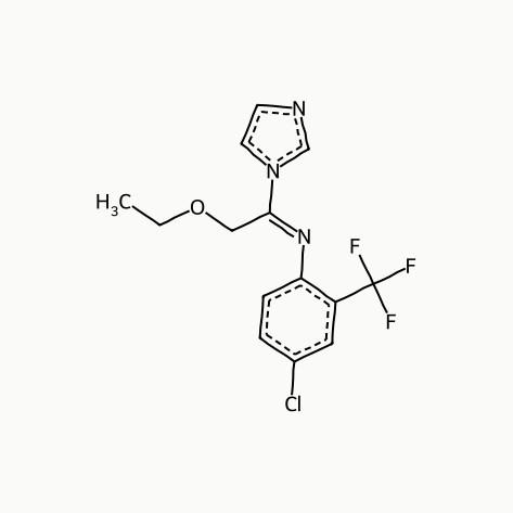 CCOC/C(=N\c1ccc(Cl)cc1C(F)(F)F)n1ccnc1